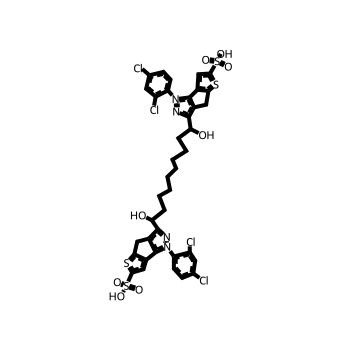 O=S(=O)(O)c1cc2c(s1)Cc1c(C(O)CCCCCCCCC(O)c3nn(-c4ccc(Cl)cc4Cl)c4c3Cc3sc(S(=O)(=O)O)cc3-4)nn(-c3ccc(Cl)cc3Cl)c1-2